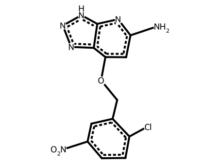 Nc1cc(OCc2cc([N+](=O)[O-])ccc2Cl)c2nn[nH]c2n1